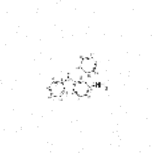 Nc1ccc2c(sc3ccccc32)c1[C@H]1C=CC=CC1